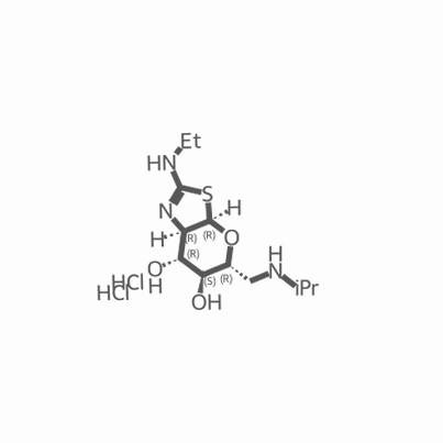 CCNC1=N[C@@H]2[C@@H](O)[C@H](O)[C@@H](CNC(C)C)O[C@@H]2S1.Cl.Cl